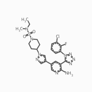 CCN(C)S(=O)(=O)N1CCC(n2cc(-c3cnc(N)c(-c4nnnn4-c4cccc(Cl)c4F)c3)cn2)CC1